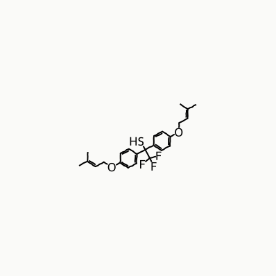 CC(C)=CCOc1ccc(C(S)(c2ccc(OCC=C(C)C)cc2)C(F)(F)F)cc1